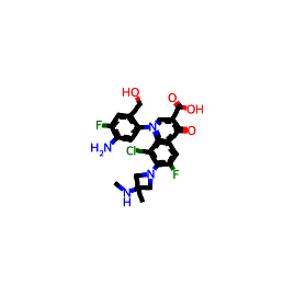 CNC1(C)CN(c2c(F)cc3c(=O)c(C(=O)O)cn(-c4cc(N)c(F)cc4CO)c3c2Cl)C1